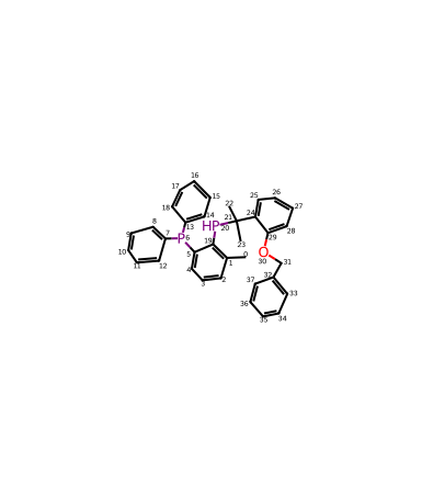 Cc1cccc(P(c2ccccc2)c2ccccc2)c1PC(C)(C)c1ccccc1OCc1ccccc1